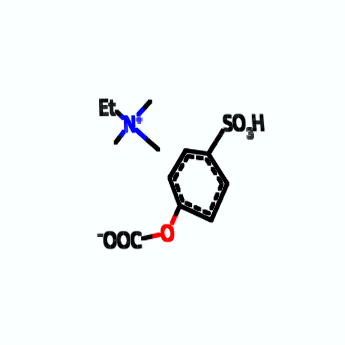 CC[N+](C)(C)C.O=C([O-])Oc1ccc(S(=O)(=O)O)cc1